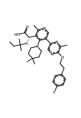 CCC(C)(C)O[C@H](C(=O)O)c1c(C)ncc(-c2cnc(OCCc3ccc(F)cc3)c(C)n2)c1N1CCC(C)(C)CC1